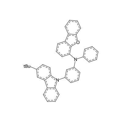 CC(C)(C)c1ccc2c(c1)c1ccccc1n2-c1cccc(N(c2ccccc2)c2cccc3c2oc2ccccc23)c1